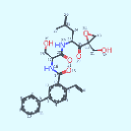 C=Cc1ccc(-c2ccccc2)cc1C(=O)N[C@@H](CO)C(=O)N[C@@H](CC(C)C)C(=O)[C@@]1(CO)CO1